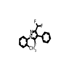 Cc1ccccc1-n1nc(C(F)F)c(-c2ccccc2)c1F